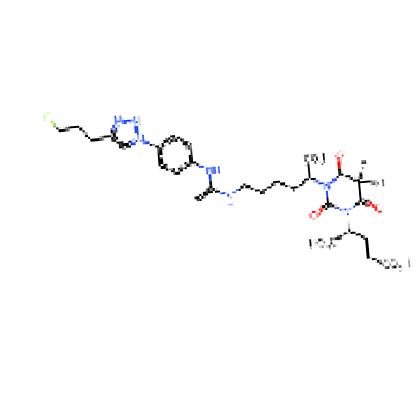 C=C(NCCCC[C@@H](C(=O)O)N1C(=O)N([C@@H](CCC(=O)O)C(=O)O)C(=O)C(CC)(CC)C1=O)Nc1ccc(-n2cc(CCCF)nn2)cc1